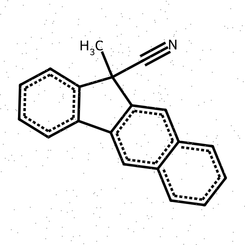 CC1(C#N)c2ccccc2-c2cc3ccccc3cc21